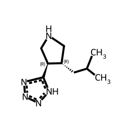 CC(C)C[C@H]1CNC[C@@H]1c1nnn[nH]1